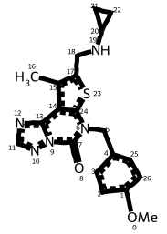 COc1ccc(Cn2c(=O)n3ncnc3c3c(C)c(CNC4CC4)sc32)cc1